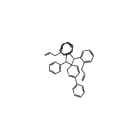 C=CCc1ccccc1N(c1ccccc1)C1(N(c2ccccc2)c2ccccc2CC=C)C=CC(c2ccccc2)=CC1